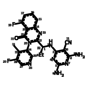 CC[C@H](Nc1nc(N)nc(N)c1C#N)c1nc2cccc(F)c2c(=O)n1-c1cncc(F)c1C